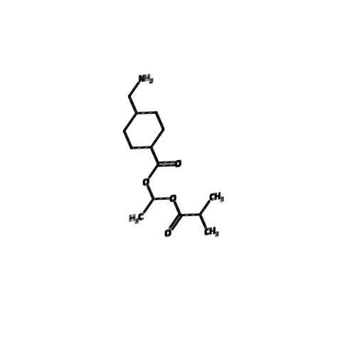 CC(OC(=O)C(C)C)OC(=O)C1CCC(CN)CC1